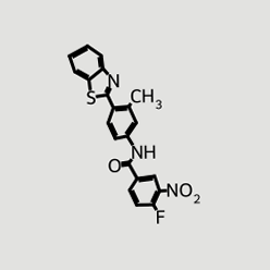 Cc1cc(NC(=O)c2ccc(F)c([N+](=O)[O-])c2)ccc1-c1nc2ccccc2s1